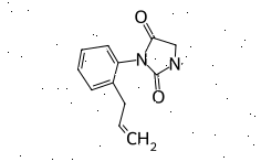 C=CCc1ccccc1N1C(=O)C[N]C1=O